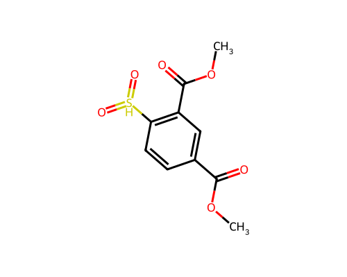 COC(=O)c1ccc([SH](=O)=O)c(C(=O)OC)c1